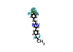 C/C(F)=C(\F)c1ccc(-c2cnc(/C=C/c3cc(F)c(S(F)(F)(F)(F)F)c(F)c3)nc2)cc1